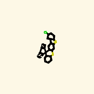 Clc1ccc2sc3cc4c(cc3c2c1)C1(c2ccccc2S4)c2ccccc2-c2ccccc21